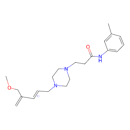 C=C(/C=C/CN1CCN(CCC(=O)Nc2cccc(C)c2)CC1)COC